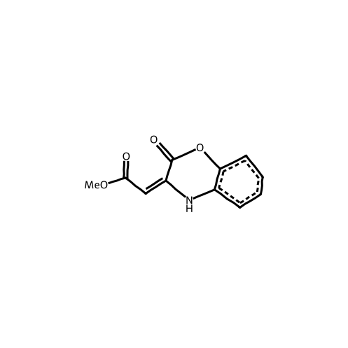 COC(=O)/C=C1/Nc2ccccc2OC1=O